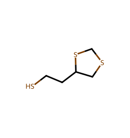 SCCC1CSCS1